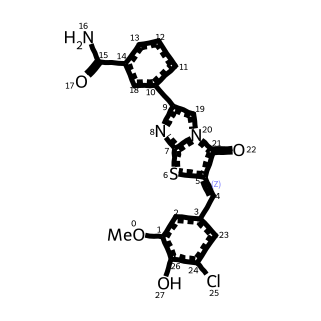 COc1cc(/C=c2\sc3nc(-c4cccc(C(N)=O)c4)cn3c2=O)cc(Cl)c1O